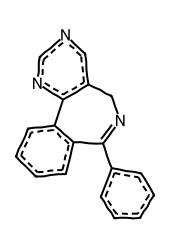 c1ccc(C2=NCc3cncnc3-c3ccccc32)cc1